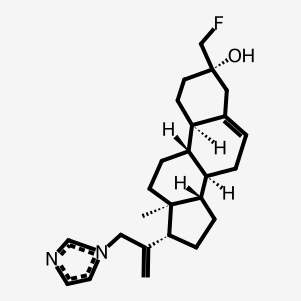 C=C(Cn1ccnc1)[C@H]1CC[C@H]2[C@@H]3CC=C4C[C@](O)(CF)CC[C@@H]4[C@H]3CC[C@]12C